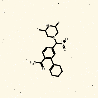 CC1CN(C(c2ccc(C(N)=O)c(C3=CCCCC3)c2)[SH](=O)=O)CC(C)N1